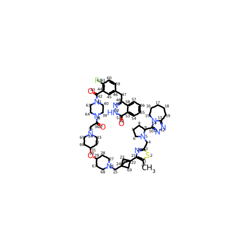 Cc1sc(CN2CCCC2c2nnc3n2CCCCC3)nc1C12CC(CN3CCC(OC4CCN(CC(=O)N5CCN(C(=O)c6cc(Cc7n[nH]c(=O)c8ccccc78)ccc6F)CC5)CC4)CC3)(C1)C2